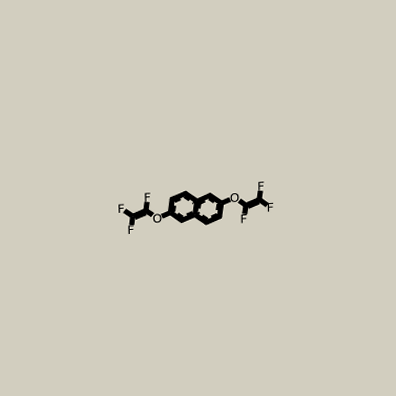 FC(F)=C(F)Oc1ccc2cc(OC(F)=C(F)F)ccc2c1